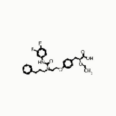 CCOC(Cc1ccc(OCCN(CCCc2ccccc2)C(=O)Nc2ccc(F)c(F)c2)cc1)C(=O)O